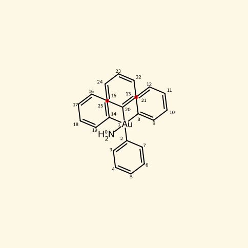 [NH2][Au]([c]1ccccc1)([c]1ccccc1)([c]1ccccc1)[c]1ccccc1